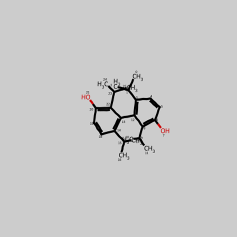 CC(C)c1ccc(O)c(C(C)C)c1-c1c(C(C)C)ccc(O)c1C(C)C